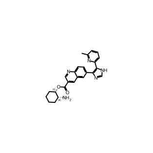 Cc1cccc(-c2[nH]cnc2-c2ccc3ncc(C(=O)O[C@H]4CCCC[C@H]4N)cc3c2)n1